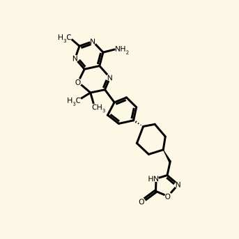 Cc1nc(N)c2c(n1)OC(C)(C)C(c1ccc([C@H]3CC[C@H](Cc4noc(=O)[nH]4)CC3)cc1)=N2